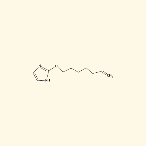 C=CCCCCCOc1ncc[nH]1